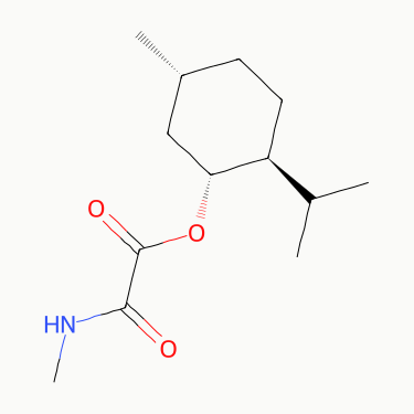 CNC(=O)C(=O)O[C@@H]1C[C@H](C)CC[C@H]1C(C)C